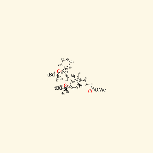 COC(=O)CC/C=C1/C(C)[C@@H]2[C@@H](C#CC(O[Si](C)(C)C(C)(C)C)C3CCCCC3)[C@H](O[Si](C)(C)C(C)(C)C)CC[C@H]12